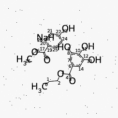 CCCOC(=O)c1cc(O)c(O)c(O)c1.COC(=O)c1ccc(O)cc1.[NaH]